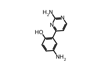 Nc1ccc(O)c(-c2ccnc(N)n2)c1